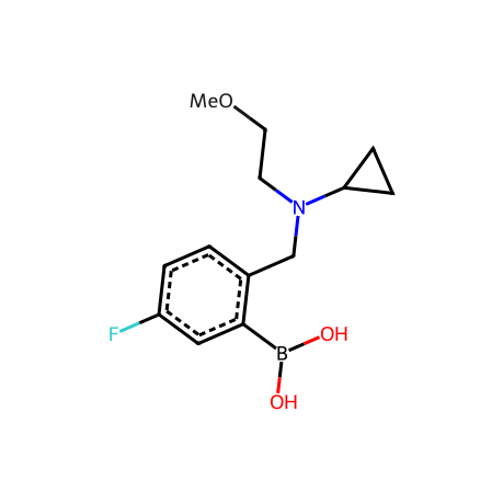 COCCN(Cc1ccc(F)cc1B(O)O)C1CC1